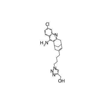 Nc1c2c(nc3cc(Cl)ccc13)CC1C=C(CCCCn3cc(CO)nn3)CC2C1